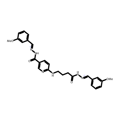 COc1cccc(/C=N/NC(=O)CCCNc2ccc(C(=O)N/N=C/c3cccc(OC)c3)cn2)c1